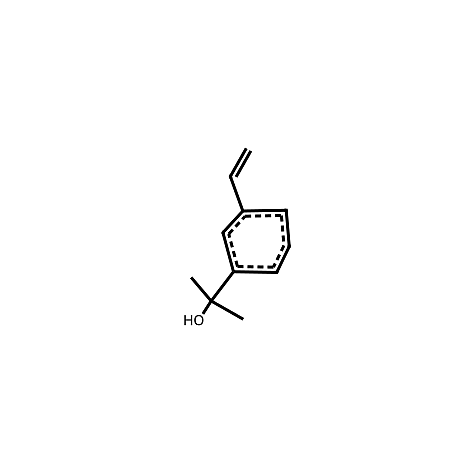 C=Cc1cccc(C(C)(C)O)c1